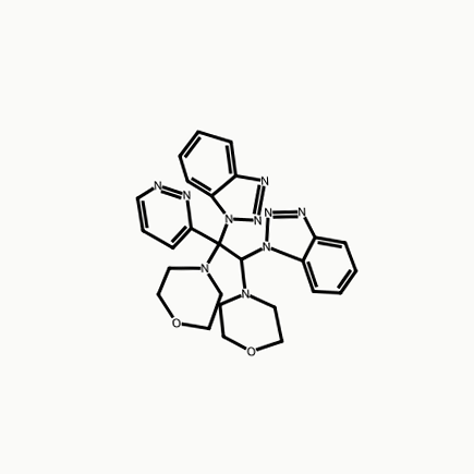 c1cnnc(C(C(N2CCOCC2)n2nnc3ccccc32)(N2CCOCC2)n2nnc3ccccc32)c1